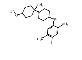 CCO[C@H]1CC[C@](C)(N2CCC(Nc3cc(C)c(F)cc3N)CC2)CC1